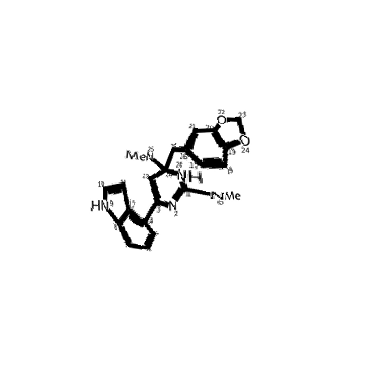 CNC1=NC(c2cccc3[nH]ccc23)=CC(Cc2ccc3c(c2)OCO3)(NC)N1